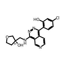 Oc1cc(Cl)ccc1-c1nnc(NC[C@]2(O)CCOC2)c2cnccc12